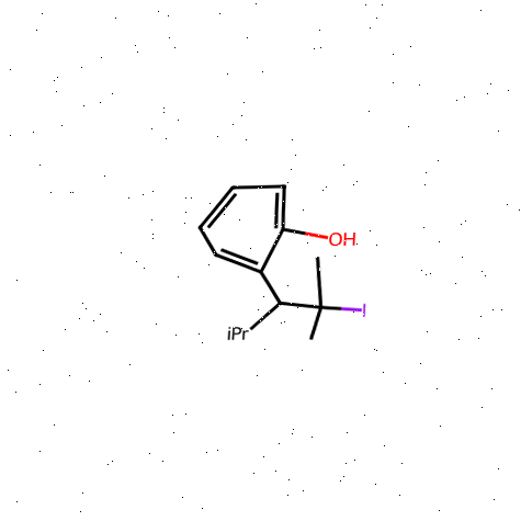 CC(C)C(c1ccccc1O)C(C)(C)I